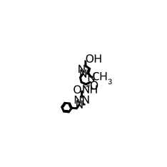 CN1C(=O)[C@@H](NC(=O)c2ncn(Cc3ccccc3)n2)CCn2nc(CO)cc21